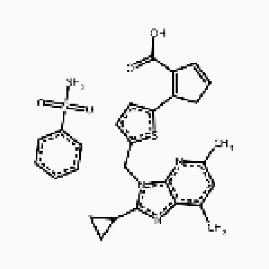 Cc1cc(C)c2nc(C3CC3)n(Cc3ccc(C4=C(C(=O)O)C=CC4)s3)c2n1.NS(=O)(=O)c1ccccc1